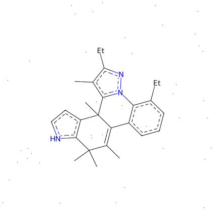 CCc1cccc2c1-n1nc(CC)c(C)c1C1(C)C2=C(C)C(C)(C)c2[nH]ccc21